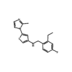 CCc1cc(F)ccc1CNc1csc(-n2ccnc2C)c1